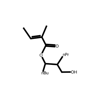 CC=C(C)C(=O)OC(CCCC)C(CO)CCC